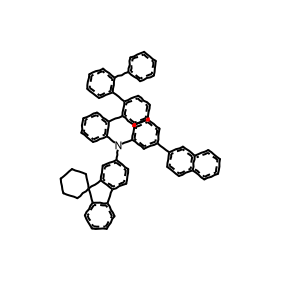 c1ccc(-c2ccccc2-c2ccccc2-c2ccccc2N(c2cccc(-c3ccc4ccccc4c3)c2)c2ccc3c(c2)C2(CCCCC2)c2ccccc2-3)cc1